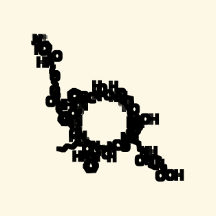 CCCCCC[C@@H]1NC(=O)[C@H](Cc2ccc(CNC(=O)COCCOCCNC(=O)c3ccc([N+](C)(C)C)nc3)cc2)NC(=O)[C@H](Cc2ccccc2)N(C)C(=O)CNC(=O)CNC(=O)[C@H]2CCCN2C(=O)[C@H](CC(=O)O)NC(=O)[C@H](CCCCNC(=O)N2CCN(CC(=O)O)CC2)NC(=O)CNC(=O)[C@H](Cc2c[nH]c3ccccc23)NC1=O